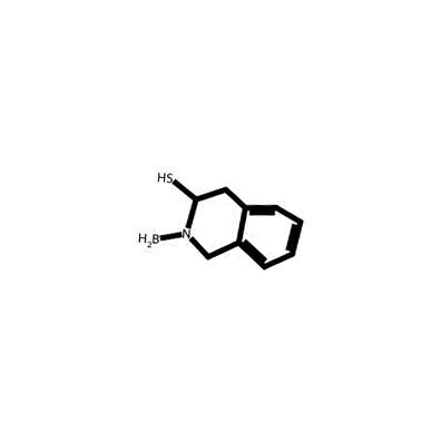 BN1Cc2ccccc2CC1S